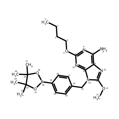 CCCCOc1nc(N)c2nc(OC)n(Cc3ccc(B4OC(C)(C)C(C)(C)O4)cc3)c2n1